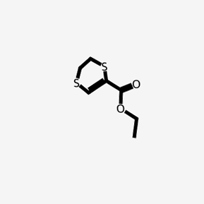 CCOC(=O)C1=CSCCS1